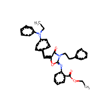 CCOC(=O)c1ccccc1/N=C1\O/C(=C/c2ccc(N(CC)c3ccccc3)cc2)C(=O)N1CCc1ccccc1